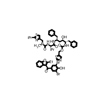 CC(C)c1nc(CN(C)C(=O)N[C@H](C(=O)N[C@@H](Cc2ccccc2)C[C@H](O)[C@H](Cc2ccccc2)NC(=O)OCc2cncs2)C(C)C)cs1.CCc1oc2ccccc2c1C(=O)c1cc(Br)c(O)c(Br)c1